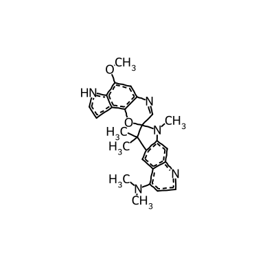 COc1cc2c(c3cc[nH]c13)OC1(C=N2)N(C)c2cc3nccc(N(C)C)c3cc2C1(C)C